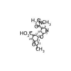 Cc1cc2c(Oc3cncc(C(=O)N(C)C)c3)cc(C(=O)O)cc2o1